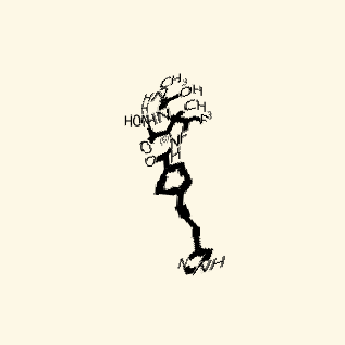 CNC(O)NC(C)(C(F)F)[C@H](NC(=O)c1ccc(C#CC#Cc2c[nH]cn2)cc1)C(=O)NO